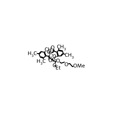 CCOC(COP(=O)(C(=O)c1c(C)cc(C)cc1C)C(=O)c1c(C)cc(C)cc1C)OCCOCCOC